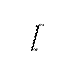 CC(O)CCCCCCCCCCCCC(C)C(C)(C)C